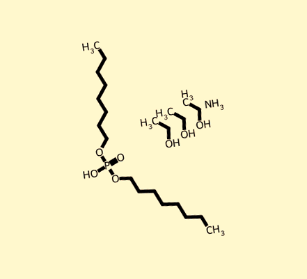 CCCCCCCCOP(=O)(O)OCCCCCCCC.CCO.CCO.CCO.N